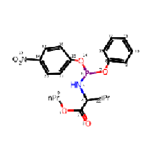 CCCOC(=O)C(NP(Oc1ccccc1)Oc1ccc([N+](=O)[O-])cc1)C(C)C